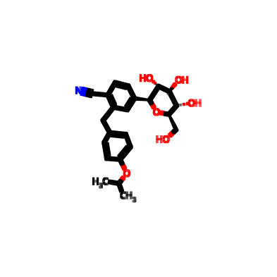 CC(C)Oc1ccc(Cc2cc([C@@H]3O[C@H](CO)[C@@H](O)[C@H](O)[C@H]3O)ccc2C#N)cc1